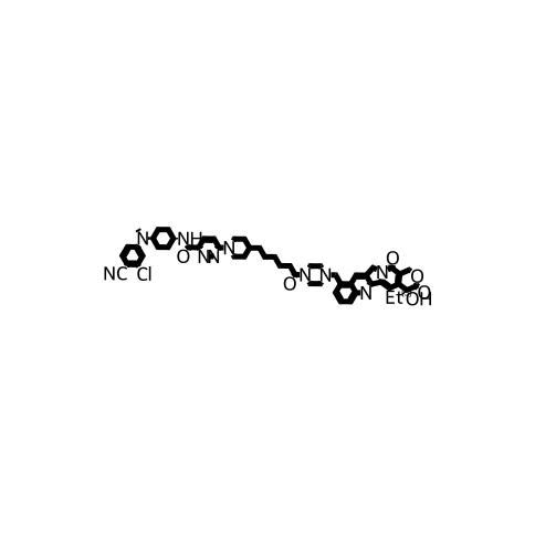 CC[C@@]1(O)C(=O)OCc2c1cc1n(c2=O)Cc2cc3c(CN4CCN(C(=O)CCCCCC5CCN(c6ccc(C(=O)N[C@H]7CC[C@H](N(C)c8ccc(C#N)c(Cl)c8)CC7)nn6)CC5)CC4)cccc3nc2-1